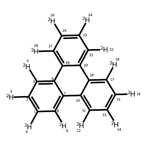 [2H]c1c([2H])c([2H])c2c(c1[2H])c1c([2H])c([2H])c([2H])c([2H])c1c1c([2H])c([2H])c([2H])c([2H])c21